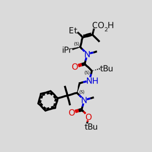 CCC(=C(C)C(=O)O)[C@H](C(C)C)N(C)C(=O)[C@@H](NC[C@@H](N(C)C(=O)OC(C)(C)C)C(C)(C)c1ccccc1)C(C)(C)C